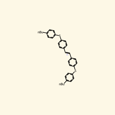 CCCCc1ccc(Sc2ccc(/C=C/c3ccc(Sc4ccc(CCCC)cc4)cc3)cc2)cc1